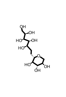 OC[C@@H](O)[C@@H](O)[C@H](O)[C@H](O)CC[C@@H]1OC[C@@H](O)[C@H](O)[C@H]1O